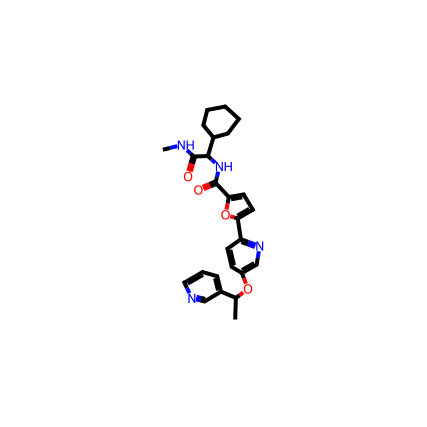 CNC(=O)C(NC(=O)c1ccc(-c2ccc(OC(C)c3cccnc3)cn2)o1)C1CCCCC1